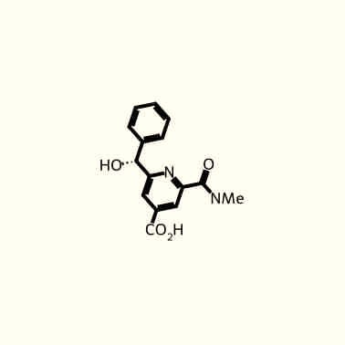 CNC(=O)c1cc(C(=O)O)cc([C@H](O)c2ccccc2)n1